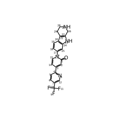 O=c1cc(-c2ccc(C(F)(F)F)cn2)ccn1-c1ccc2c3c([nH]c2c1)CNCC3